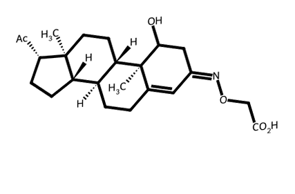 CC(=O)[C@H]1CC[C@H]2[C@@H]3CCC4=CC(=NOCC(=O)O)CC(O)[C@]4(C)[C@H]3CC[C@]12C